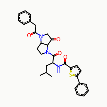 CC(C)CC(NC(=O)c1ccc(-c2ccccc2)s1)C(=O)N1CCC2C1C(=O)CN2C(=O)Cc1ccccc1